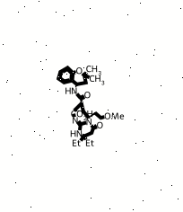 CCC1(CC)CC(=O)N([C@H](CCOC)[C@@H]2C[C@H]2C(=O)N[C@H]2CC(C)(C)Oc3ccccc32)/C(=N\C(=O)O)N1